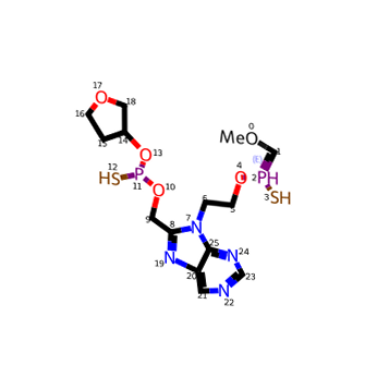 CO/C=[PH](/S)OCCn1c(COP(S)OC2CCOC2)nc2cncnc21